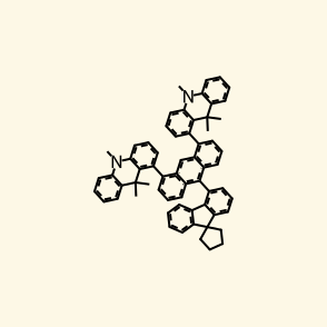 CN1c2ccccc2C(C)(C)c2c(-c3cccc4c(-c5cccc6c5-c5ccccc5C65CCCC5)c5cccc(-c6cccc7c6C(C)(C)c6ccccc6N7C)c5cc34)cccc21